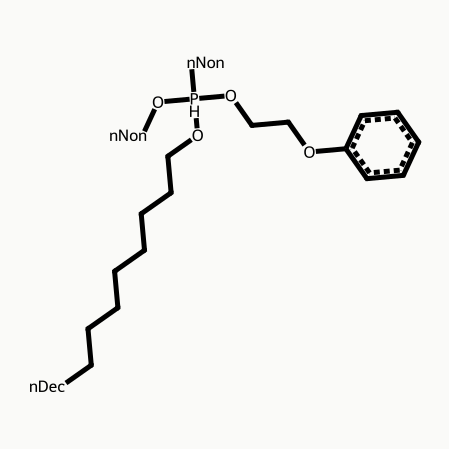 CCCCCCCCCCCCCCCCCCO[PH](CCCCCCCCC)(OCCCCCCCCC)OCCOc1ccccc1